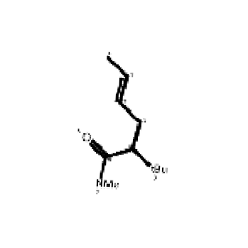 C/C=C/CC(C(=O)NC)C(C)(C)C